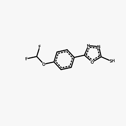 FC(F)Oc1ccc(-c2nnc(S)o2)cc1